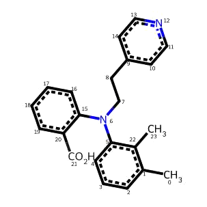 Cc1cccc(N(CCc2ccncc2)c2ccccc2C(=O)O)c1C